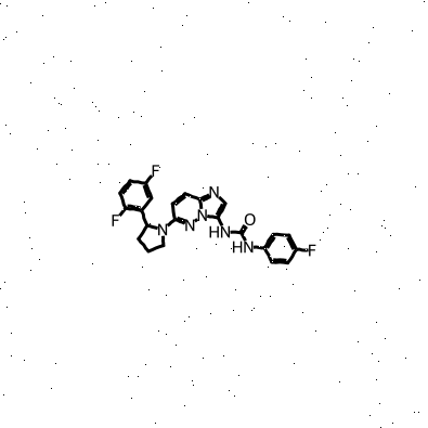 O=C(Nc1ccc(F)cc1)Nc1cnc2ccc(N3CCCC3c3cc(F)ccc3F)nn12